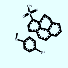 COc1ccc(S)cc1.O=S(=O)(O)c1ccc2ccc3cccc4ccc1c2c34